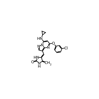 C=c1[nH]c(=O)[nH]/c1=C\c1cnn2c(NC3CC3)cc(Oc3cccc(Cl)c3)nc12